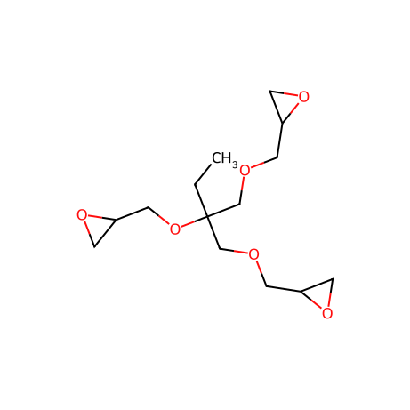 CCC(COCC1CO1)(COCC1CO1)OCC1CO1